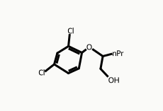 CCCC(CO)Oc1ccc(Cl)cc1Cl